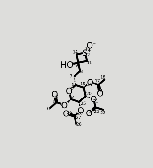 CC(=O)O[C@H]1O[C@H](CCC2(O)C[S+]([O-])C2)[C@@H](OC(C)=O)[C@H](OC(C)=O)[C@@H]1OC(C)=O